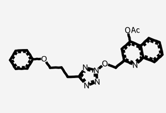 CC(=O)Oc1cc(COn2nnc(CCCOc3ccccc3)n2)nc2ccccc12